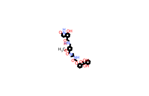 COc1cc(CNC[C@H](O)c2ccc(O)c3[nH]c(=O)ccc23)ccc1C(=O)N1CC(NC(=O)COc2cccc([C@](O)(C(=O)O)c3ccccc3)c2)C1